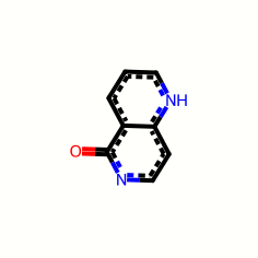 O=c1nccc2[nH]cccc1-2